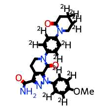 [2H]c1c([2H])c(-n2nc(C(N)=O)c3c2C(=O)N(c2c([2H])c([2H])c(N4CC([2H])([2H])C([2H])([2H])CC4=O)c([2H])c2[2H])CC3)c([2H])c([2H])c1OC